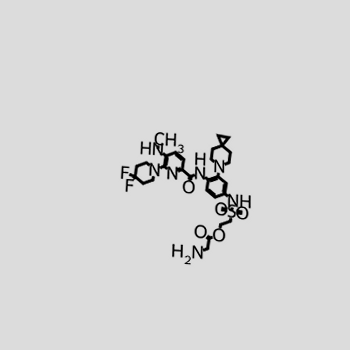 CNc1ccc(C(=O)Nc2ccc(NS(=O)(=O)CCOC(=O)CN)cc2N2CCC3(CC2)CC3)nc1N1CCC(F)(F)CC1